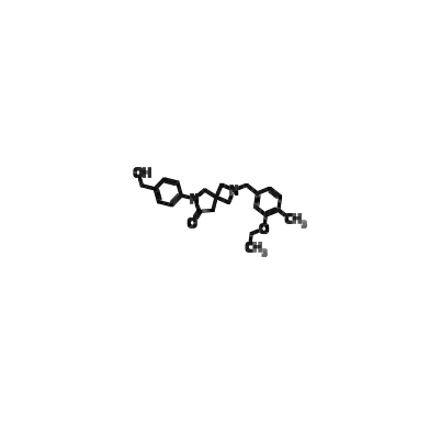 CCOc1cc(CN2CC3(CC(=O)N(c4ccc(CO)cc4)C3)C2)ccc1C